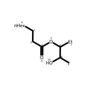 CCCCCCCCC(=O)OC(CC)C(C)O